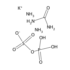 N.N.NC(N)=O.O=P(O)(O)OS(=O)(=O)[O-].[K+]